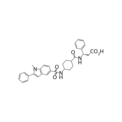 Cn1c(-c2ccccc2)cc2cc(S(=O)(=O)NC3CCC(C(=O)N[C@H](CC(=O)O)c4ccccc4)CC3)ccc21